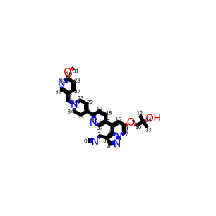 C=NCc1cnn2cc(OCC(C)(C)O)cc(-c3ccc(C4=CCN(Cc5ccc(OC)nc5)CC4)nc3)c12